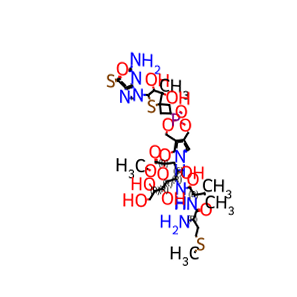 COC(=O)[C@]1(Oc2[nH]cc3c2COP(=O)(C2CC4(C2)SC(n2cnc5c(=S)oc(N)nc52)C(O)C4(C)O)OC3)C[C@H](O)[C@@H](NC(=O)[C@H](NC(=O)[C@H](N)CCSC)C(C)C)[C@H]([C@H](O)[C@H](O)CO)O1